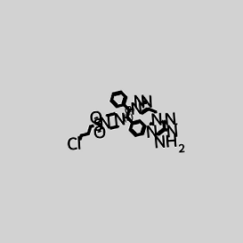 Nc1ncn(Cc2cn([C@H](c3ccccc3)[C@H](c3ccccc3)N3CCN(S(=O)(=O)CCCCl)CC3)nn2)c2ncnc1-2